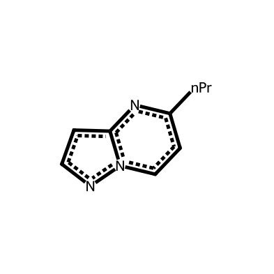 CCCc1ccn2nccc2n1